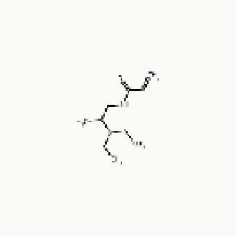 C=CC(=O)NCC(C)N(CC)CC